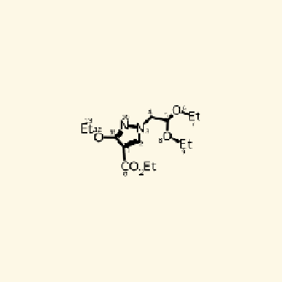 CCOC(=O)c1cn(CC(OCC)OCC)nc1OCC